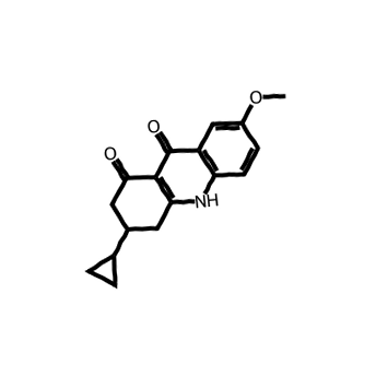 COc1ccc2[nH]c3c(c(=O)c2c1)C(=O)CC(C1CC1)C3